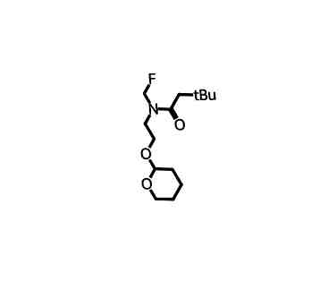 CC(C)(C)CC(=O)N(CF)CCOC1CCCCO1